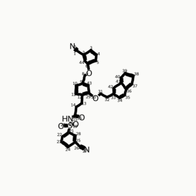 N#Cc1cccc(OCc2ccc(CCC(=O)NS(=O)(=O)c3cccc(C#N)c3)c(OCCc3ccc4ccccc4c3)c2)c1